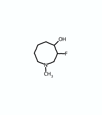 CN1CCCCC(O)C(F)C1